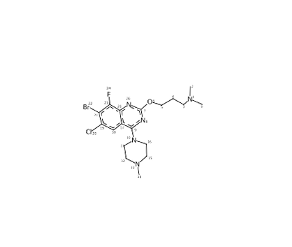 CN(C)CCCOc1nc(N2CCN(C)CC2)c2cc(Cl)c(Br)c(F)c2n1